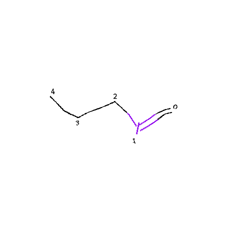 C=ICCC